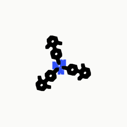 Cc1cccc(C)c1-c1ccc(-c2nc(-c3ccc(-c4c(C)cccc4C)cc3)nc(-c3ccc(-c4c(C)cccc4C)cc3)n2)cc1